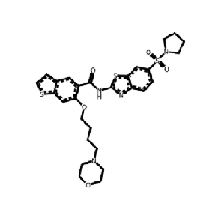 O=C(Nc1nc2ccc(S(=O)(=O)N3CCCC3)cc2s1)c1cc2ccsc2cc1OCCCCN1CCOCC1